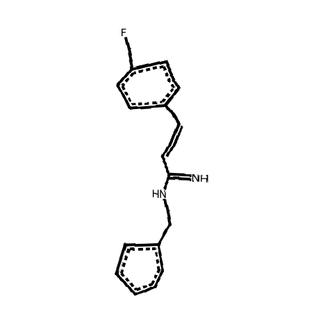 N=C(C=Cc1ccc(F)cc1)NCc1ccccc1